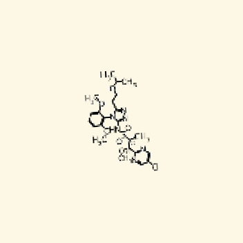 COc1cccc(OC)c1-n1c(CCOC(C)C)nnc1NS(=O)(=O)[C@@H](C)[C@H](OC)c1ncc(Cl)cn1